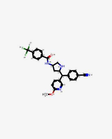 COc1ccc(C(c2ccc(C#N)cc2)C2CC(NC(=O)c3ccc(C(F)(F)F)cc3)CN2)cn1